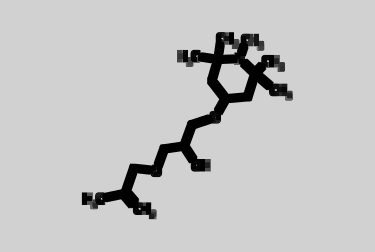 C=C(C)COCC(O)COC1CC(C)(C)N(C)C(C)(C)C1